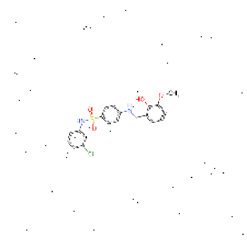 COc1c#ccc(CNc2ccc(S(=O)(=O)Nc3cccc(Cl)c3)cc2)c1O